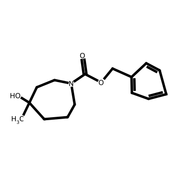 CC1(O)CCCN(C(=O)OCc2ccccc2)CC1